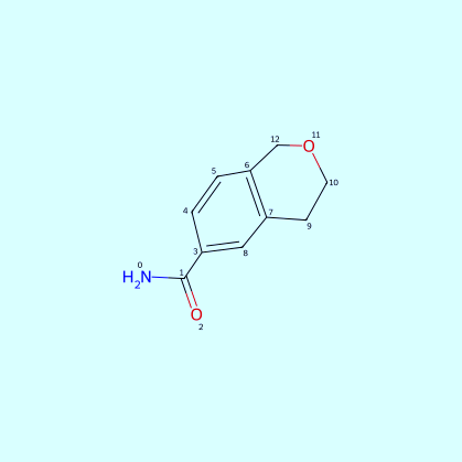 NC(=O)c1ccc2c(c1)CCOC2